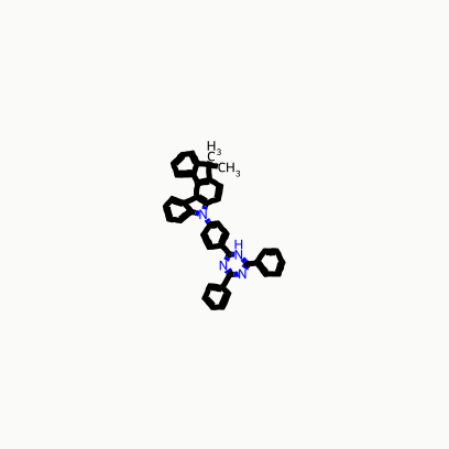 CC1(C)c2ccccc2-c2c1ccc1c2c2ccccc2n1-c1ccc(C2N=C(c3ccccc3)N=C(c3ccccc3)N2)cc1